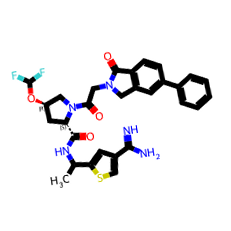 CC(NC(=O)[C@@H]1C[C@@H](OC(F)F)CN1C(=O)CN1Cc2cc(-c3ccccc3)ccc2C1=O)c1cc(C(=N)N)cs1